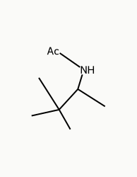 CC(=O)NC(C)C(C)(C)C